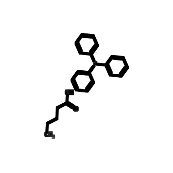 CCCCC(=O)O.c1ccc(P(c2ccccc2)c2ccccc2)cc1